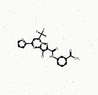 CC(=O)c1cccc(NC(=O)c2nn3c(C(F)(F)F)cc(-c4cccs4)nc3c2Cl)c1